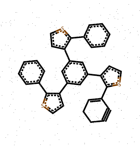 C1#CC(c2sccc2-c2cc(-c3ccsc3-c3ccccc3)cc(-c3ccsc3-c3ccccc3)c2)=CCC1